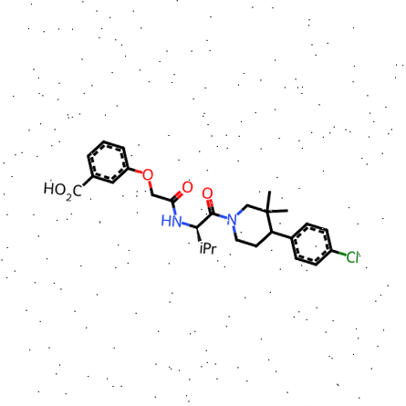 CC(C)[C@@H](NC(=O)COc1cccc(C(=O)O)c1)C(=O)N1CCC(c2ccc(Cl)cc2)C(C)(C)C1